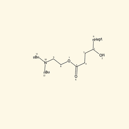 CCCCCCCC(O)CCC(=O)OCCN(CCCC)CCCC